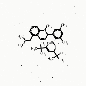 Cc1cc(C)c([C@H]2OC(C(C)(C)C)=CC(C(C)(C)C)O2)c(C2C=Cc3c(CC(C)C)cccc3N2C)c1